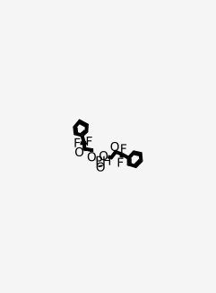 O=C(CO[PH](=O)OCC(=O)C(F)(F)c1ccccc1)C(F)(F)c1ccccc1